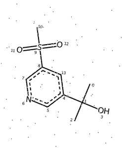 CC(C)(O)c1cncc(S(C)(=O)=O)c1